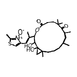 CC(=Cc1csc(C)[n+]1[O-])C1OC(=O)CCC(C)(C)C(=O)C(C)CC(C)CCCC2(C)CC2(O)C1O